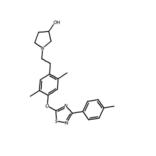 Cc1ccc(-c2nsc(Oc3cc(C)c(CCN4CCC(O)C4)cc3C)n2)cc1